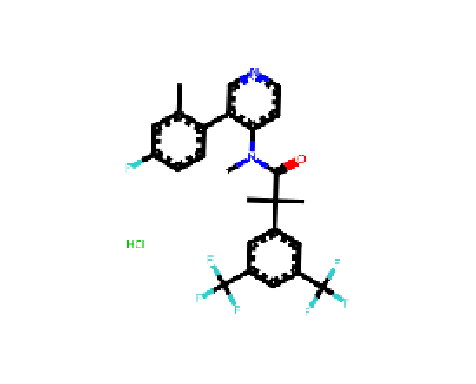 Cc1cc(F)ccc1-c1cnccc1N(C)C(=O)C(C)(C)c1cc(C(F)(F)F)cc(C(F)(F)F)c1.Cl